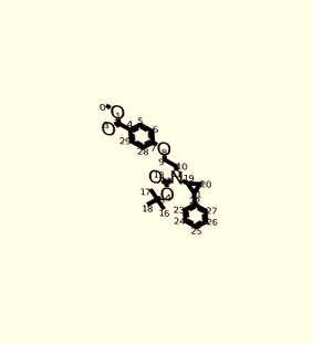 COC(=O)c1ccc(OCCN(C(=O)OC(C)(C)C)C2CC2c2ccccc2)cc1